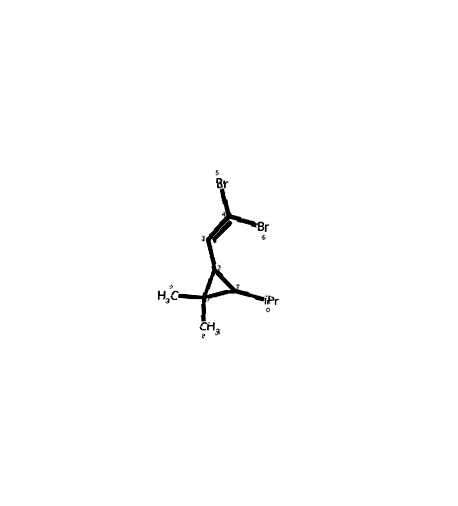 CC(C)C1C(C=C(Br)Br)C1(C)C